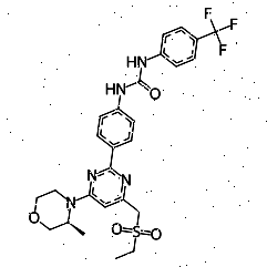 CCS(=O)(=O)Cc1cc(N2CCOC[C@@H]2C)nc(-c2ccc(NC(=O)Nc3ccc(C(F)(F)F)cc3)cc2)n1